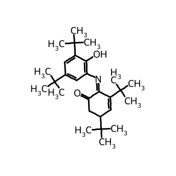 CC(C)(C)C1=CC(C(C)(C)C)CC(=O)C1=Nc1cc(C(C)(C)C)cc(C(C)(C)C)c1O